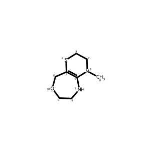 CN1CCSC2=C1NCCOC2